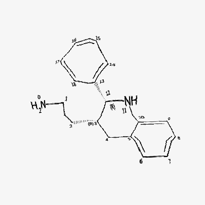 NCC[C@H]1Cc2ccccc2N[C@H]1c1ccccc1